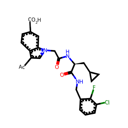 CC(=O)c1cn(CC(=O)N[C@@H](CC2CC2)C(=O)NCc2cccc(Cl)c2F)c2cc(C(=O)O)ccc12